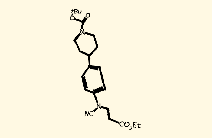 CCOC(=O)CCN(C#N)c1ccc(C2CCN(C(=O)OC(C)(C)C)CC2)cc1